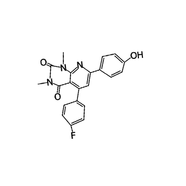 Cn1c(=O)c2c(-c3ccc(F)cc3)cc(-c3ccc(O)cc3)nc2n(C)c1=O